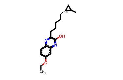 CC1C[C@H]1CCCCCc1nc2ccc(OCC(F)(F)F)cc2nc1O